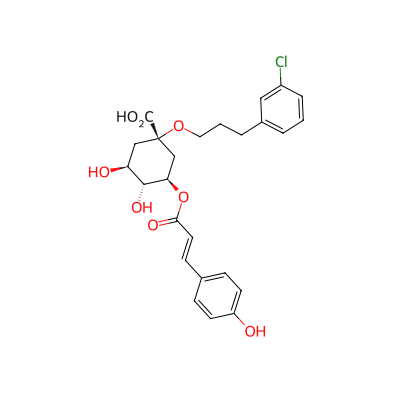 O=C(C=Cc1ccc(O)cc1)O[C@@H]1C[C@](OCCCc2cccc(Cl)c2)(C(=O)O)C[C@H](O)[C@H]1O